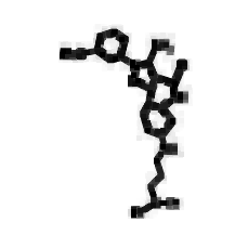 CCN(CC)CCCNc1ccc2c(c1)[nH]c(=O)c1c(N)n(-c3cccc(OC)c3)nc12